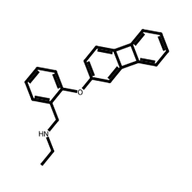 CCNCc1ccccc1Oc1ccc2c(c1)-c1ccccc1-2